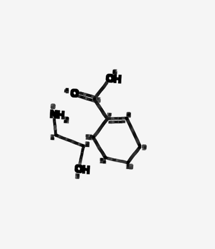 NCCO.O=C(O)C1=CCCCC1